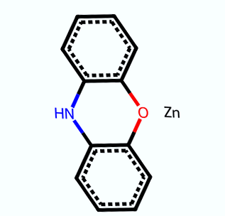 [Zn].c1ccc2c(c1)Nc1ccccc1O2